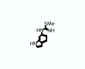 CSC(=N)Nc1ccc2cc[nH]c2c1